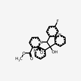 COC(=O)c1cccn(C(c2ccc(F)cc2)C(O)(c2cccnc2)c2cccnc2)c1=O